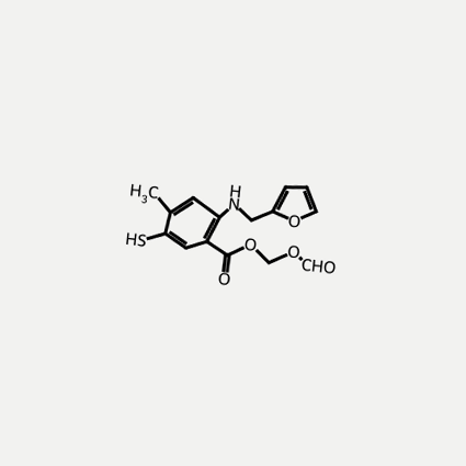 Cc1cc(NCc2ccco2)c(C(=O)OCOC=O)cc1S